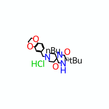 CCCCN1C(=O)[C@H](C(C)(C)C)NC(=O)C12CCN(Cc1ccc3c(c1)OCCO3)CC2.Cl